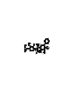 Cc1nc(NC(C)c2cccc(C(F)F)c2F)c2cc(-c3ccccc3)c(=O)[nH]c2n1